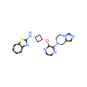 c1ccc2sc(N[C@H]3C[C@@H](Oc4nccnc4N4CCn5cncc5C4)C3)nc2c1